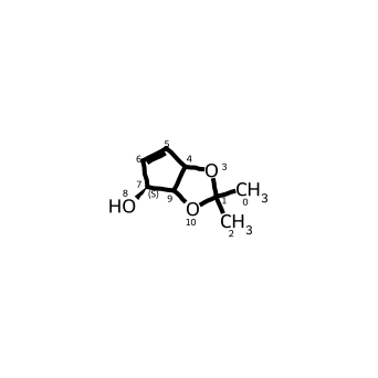 CC1(C)OC2C=C[C@H](O)C2O1